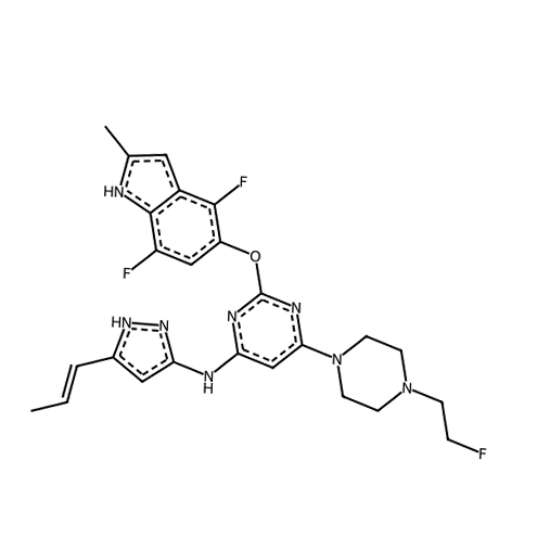 C/C=C/c1cc(Nc2cc(N3CCN(CCF)CC3)nc(Oc3cc(F)c4[nH]c(C)cc4c3F)n2)n[nH]1